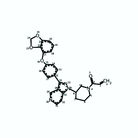 C=CC(=O)N1CCCC(n2nc(-c3ccc(Oc4cccc5c4OCO5)cc3)c3cnccc32)C1